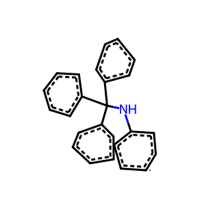 [c]1ccc(NC(c2ccccc2)(c2ccccc2)c2ccccc2)cc1